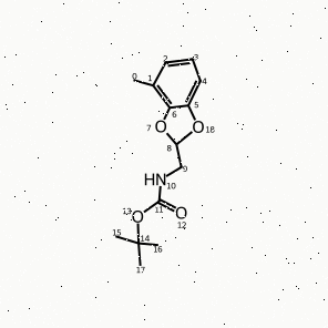 Cc1cccc2c1OC(CNC(=O)OC(C)(C)C)O2